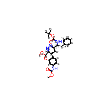 COC(=O)Nc1ccc(-c2cc([C@H](Cc3ccccc3)NC(=O)OC(C)(C)C)nnc2C(=O)OC)cc1